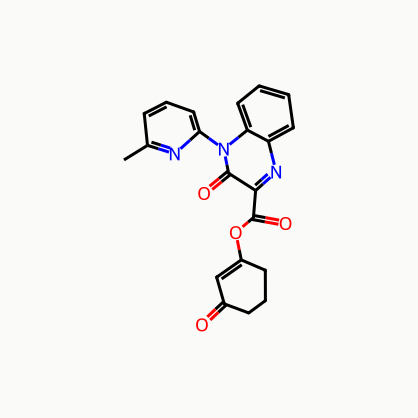 Cc1cccc(-n2c(=O)c(C(=O)OC3=CC(=O)CCC3)nc3ccccc32)n1